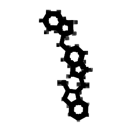 OC1Cc2ccccc2C1Nc1nc2ccc(Cn3cnc4cccnc43)cc2s1